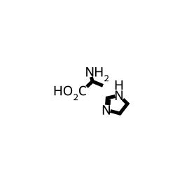 C1=NCCN1.CC(N)C(=O)O